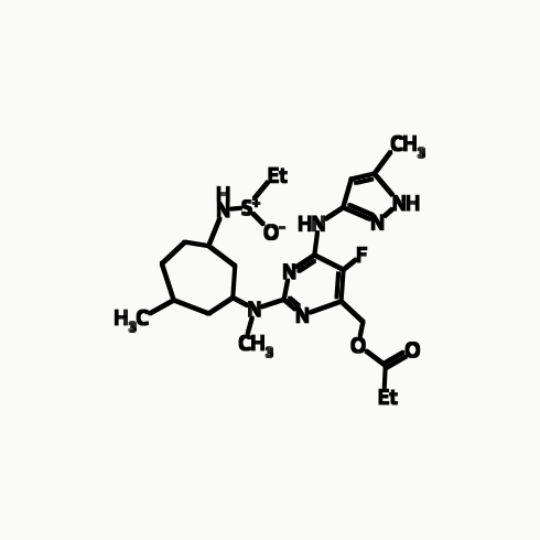 CCC(=O)OCc1nc(N(C)C2CC(C)CCC(N[S+]([O-])CC)C2)nc(Nc2cc(C)[nH]n2)c1F